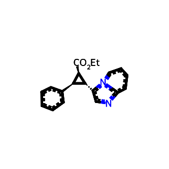 CCOC(=O)[C@@H]1[C@H](c2ccccc2)[C@H]1c1cnc2ccccn12